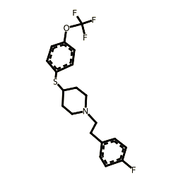 Fc1ccc(CCN2CCC(Sc3ccc(OC(F)(F)F)cc3)CC2)cc1